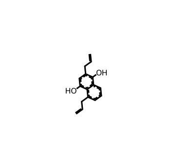 C=CCc1cc(O)c2c(CC=C)cccc2c1O